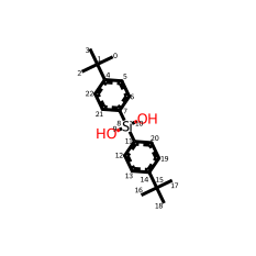 CC(C)(C)c1ccc([Si](O)(O)c2ccc(C(C)(C)C)cc2)cc1